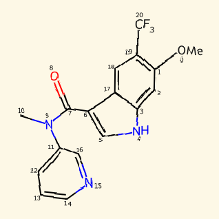 COc1cc2[nH]cc(C(=O)N(C)c3cccnc3)c2cc1C(F)(F)F